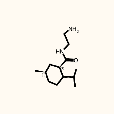 CC(C)C1CC[C@@H](C)C[C@H]1C(=O)NCCN